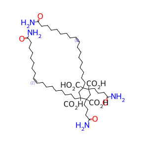 NC(=O)CCCCCCC/C=C\CCCCCCCCC1(C(=O)O)CC(CCCCCCCC/C=C\CCCCCCCC(N)=O)(C(=O)O)C(CCCC(N)=O)(C(=O)O)CC1(CCCC(N)=O)C(=O)O